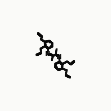 C=CCc1cccc(/N=C(C)\C(C)=N/c2cccc(CC=C)c2CC=C)c1CC=C